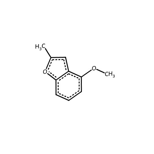 COc1cccc2oc(C)cc12